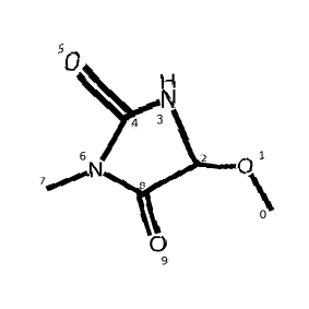 COC1NC(=O)N(C)C1=O